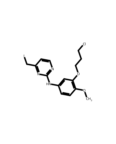 COc1ccc(Nc2nccc(CI)n2)cc1OCCCCl